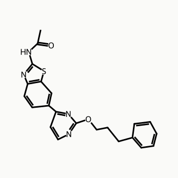 CC(=O)Nc1nc2ccc(-c3ccnc(OCCCc4ccccc4)n3)cc2s1